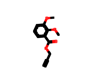 C#CCOC(=O)c1cccc(OC)c1OC